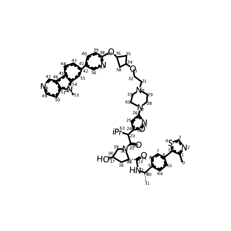 Cc1ncsc1-c1ccc([C@H](C)NC(=O)[C@@H]2C[C@@H](O)CN2C(=O)C(c2cc(N3CCN(CCOC4CC(Oc5ccc(-c6ccc7c8cnccc8n(C)c7c6)cn5)C4)CC3)no2)C(C)C)cc1